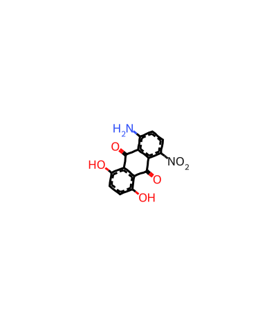 Nc1ccc([N+](=O)[O-])c2c1C(=O)c1c(O)ccc(O)c1C2=O